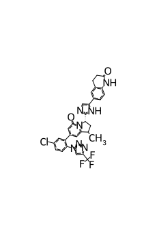 C[C@@H]1C[C@@H](c2ncc(-c3ccc4c(c3)CCC(=O)N4)[nH]2)n2c1cc(-c1cc(Cl)ccc1-n1cc(C(F)(F)F)nn1)cc2=O